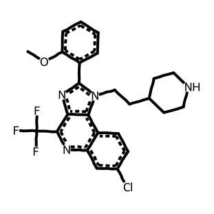 COc1ccccc1-c1nc2c(C(F)(F)F)nc3cc(Cl)ccc3c2n1CCC1CCNCC1